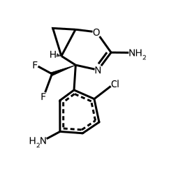 NC1=N[C@@](c2cc(N)ccc2Cl)(C(F)F)[C@H]2CC2O1